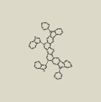 c1ccc(-n2c3ccccc3c3cc4c(cc32)c(-c2csc3ccccc23)cc2c3cc(-c5csc6ccccc56)c5cc6c(cc5c3sc42)c2ccccc2n6-c2ccccc2)cc1